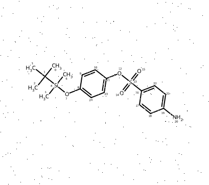 CC(C)(C)[Si](C)(C)Oc1ccc(OS(=O)(=O)c2ccc(N)cc2)cc1